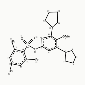 CSc1c(C2CCCC2)cc(OS(=O)(=O)c2c(C(C)C)cc(C(C)C)cc2C(C)C)cc1C1CCCC1